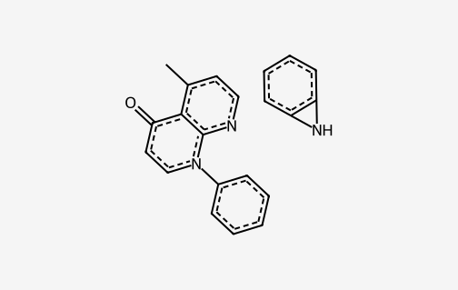 Cc1ccnc2c1c(=O)ccn2-c1ccccc1.c1ccc2c(c1)N2